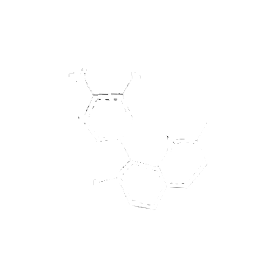 CCc1cc(-c2c(F)ccc3ccc(C)nc23)cnc1N